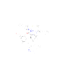 C[C@H](N)C(=O)O.Cc1ccc(O)cc1.NC(CS)C(=O)O.O=C(O)CNC(=O)c1ccccc1